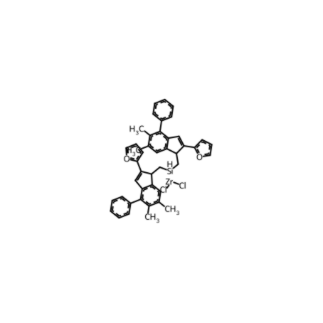 Cc1cc2c(c(-c3ccccc3)c1C)C=C(c1ccco1)C2C[SiH](CC1C(c2ccco2)=Cc2c1cc(C)c(C)c2-c1ccccc1)[Zr]([Cl])[Cl]